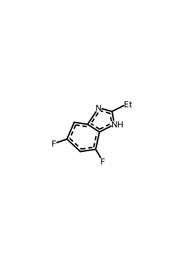 CCc1nc2cc(F)cc(F)c2[nH]1